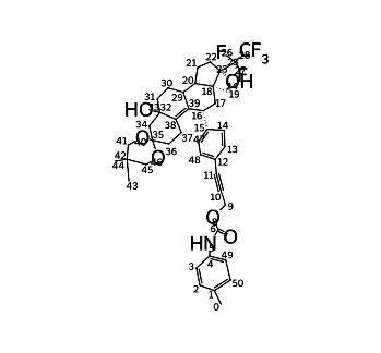 Cc1ccc(NC(=O)OCC#Cc2ccc([C@H]3C[C@@]4(C)C(CC[C@@]4(O)C(F)(F)C(F)(F)F)C4CCC5(O)CC6(CCC5=C43)OCC(C)(C)CO6)cc2)cc1